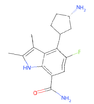 Cc1[nH]c2c(C(N)=O)cc(F)c(C3CC[C@H](N)C3)c2c1C